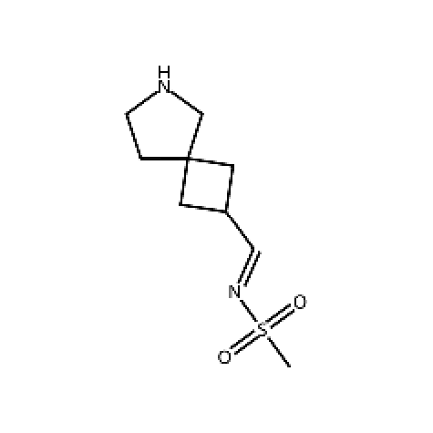 CS(=O)(=O)/N=C/C1CC2(CCNC2)C1